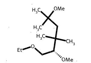 CCOC[C@@H](OC)C(C)(C)CC(C)(C)OC